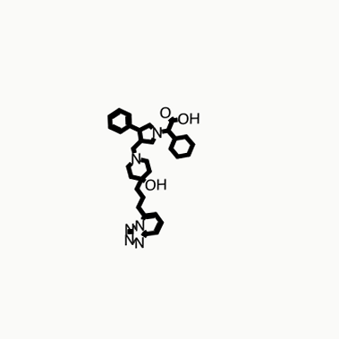 O=C(O)C(C1CCCCC1)N1CC(CN2CCC(O)(CCCc3cccc4nnnn34)CC2)C(c2ccccc2)C1